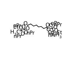 CCCOC(C)(OCC)C(OCCC)(OCCC)OC(=O)CCCCCCC(=O)OC(OCCC)(OCCC)C(C)(OCC)OCCC